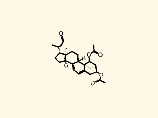 CC(=O)OC1CC2=CC=C3[C@@H]4CC[C@H](C(C)C=O)[C@@]4(C)CC[C@@H]3[C@@]2(C)C(OC(C)=O)C1